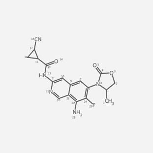 CC1COC(=O)N1c1cc2cc(NC(=O)C3CC3C#N)ncc2c(N)c1F